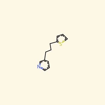 c1cncc(CCCc2cccs2)c1